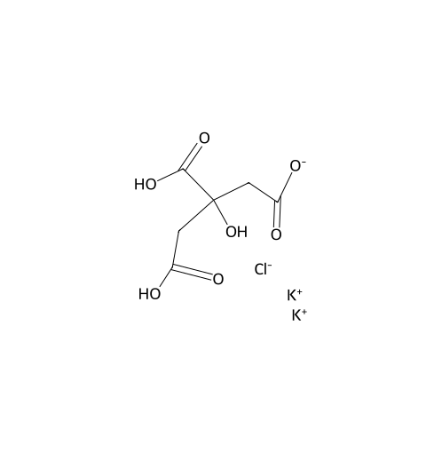 O=C([O-])CC(O)(CC(=O)O)C(=O)O.[Cl-].[K+].[K+]